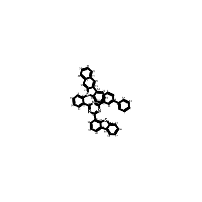 c1ccc(-c2cccc(-c3nc(-c4ccccc4-n4c5ccccc5c5cc6ccccc6cc54)nc(-c4cccc5c4sc4ccccc45)n3)c2)cc1